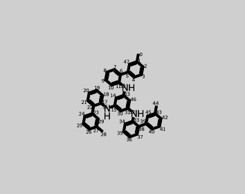 Cc1cccc(-c2ccccc2Nc2cc(Nc3ccccc3-c3cccc(C)c3)cc(Nc3ccccc3-c3cccc(C)c3)c2)c1